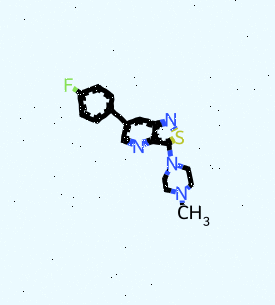 CN1CCN(c2snc3cc(-c4ccc(F)cc4)cnc23)CC1